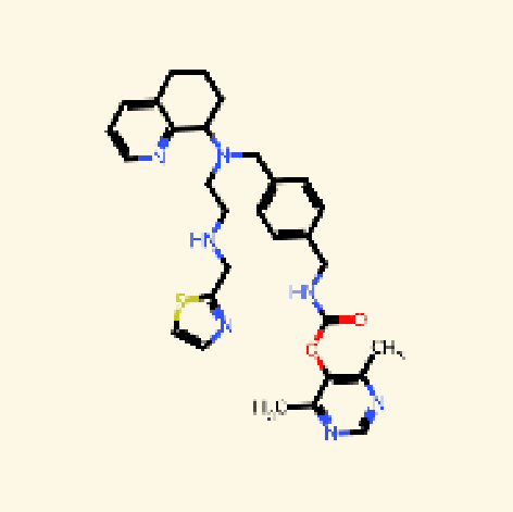 Cc1ncnc(C)c1OC(=O)NCc1ccc(CN(CCNCc2nccs2)C2CCCc3cccnc32)cc1